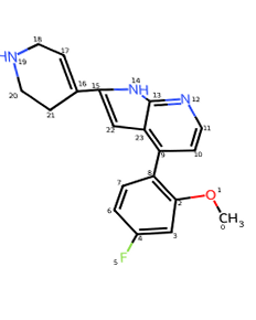 COc1cc(F)ccc1-c1ccnc2[nH]c(C3=CCNCC3)cc12